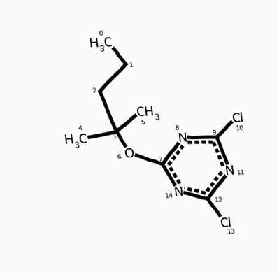 CCCC(C)(C)Oc1nc(Cl)nc(Cl)n1